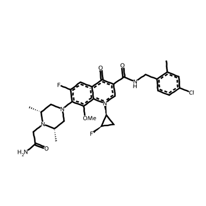 COc1c(N2C[C@@H](C)N(CC(N)=O)[C@@H](C)C2)c(F)cc2c(=O)c(C(=O)NCc3ccc(Cl)cc3C)cn([C@H]3C[C@H]3F)c12